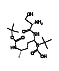 C[C@@H](CCC(NC(=O)[C@@H](N)CO)N(C(=O)O)C(C)(C)C)NC(=O)OC(C)(C)C